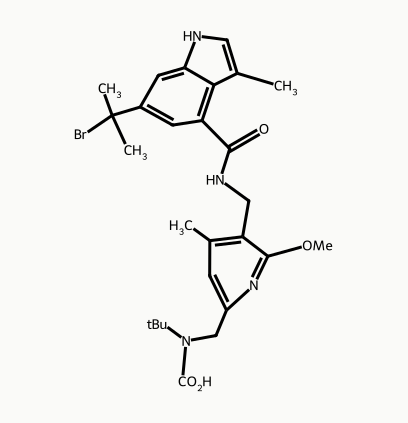 COc1nc(CN(C(=O)O)C(C)(C)C)cc(C)c1CNC(=O)c1cc(C(C)(C)Br)cc2[nH]cc(C)c12